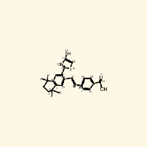 CC1(C)CCC(C)(C)c2cc(-c3nc(S)cs3)c(C=Cc3ccc(C(=O)O)cc3)cc21